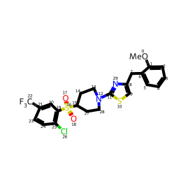 COc1ccccc1Cc1csc(N2CCC(S(=O)(=O)c3cc(C(F)(F)F)ccc3Cl)CC2)n1